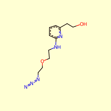 [N-]=[N+]=NCCOCCNc1cccc(CCO)n1